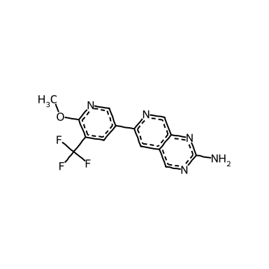 COc1ncc(-c2cc3cnc(N)nc3cn2)cc1C(F)(F)F